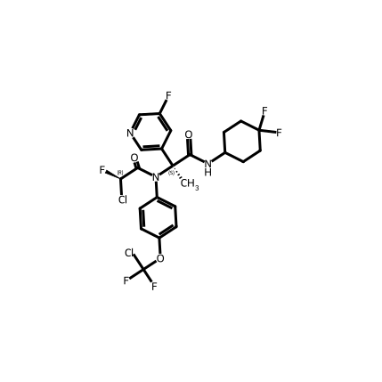 C[C@@](C(=O)NC1CCC(F)(F)CC1)(c1cncc(F)c1)N(C(=O)[C@H](F)Cl)c1ccc(OC(F)(F)Cl)cc1